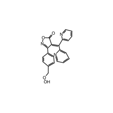 O=C1ON=C(c2ccc(COO)cc2)C1=C(c1ccccn1)c1ccccn1